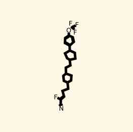 N#CC(F)=CCCC1CCC(CCC2CCC(c3ccc(OC(F)(F)F)cc3)CC2)CC1